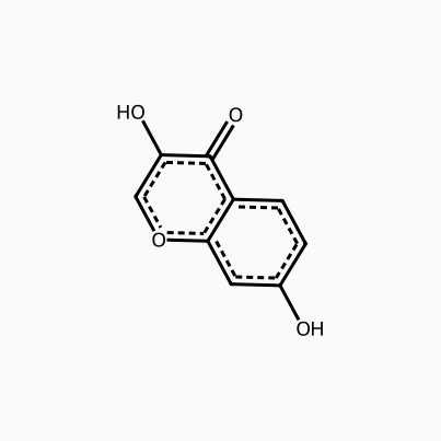 O=c1c(O)coc2cc(O)ccc12